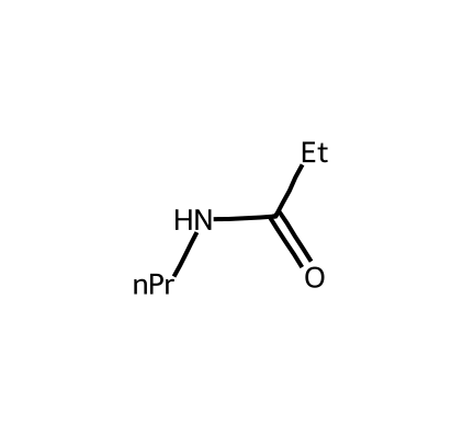 [CH2]CCNC(=O)CC